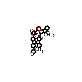 CC1(c2ccc3c(c2)C2(c4ccccc4-c4ccc(N(c5ccc6c(c5)C(C)(C)c5ccccc5-6)c5ccccc5-c5ccccc5)cc42)c2cc(C4(C)CCOCC4)ccc2-3)CCOCC1